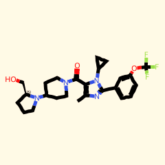 Cc1nc(-c2cccc(OC(F)(F)F)c2)n(C2CC2)c1C(=O)N1CCC(N2CCC[C@H]2CO)CC1